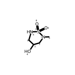 CN1CC(O)CNS1(=O)=O